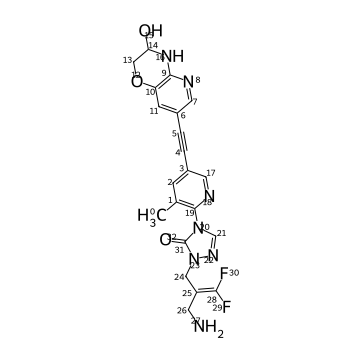 Cc1cc(C#Cc2cnc3c(c2)OCC(O)N3)cnc1-n1cnn(CC(CN)=C(F)F)c1=O